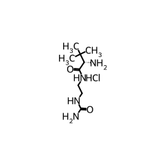 CC(C)(C)[C@H](N)C(=O)NCCNC(N)=O.Cl